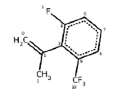 C=C(C)c1c(F)cccc1C(F)(F)F